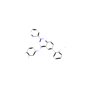 COc1ccccc1-c1ccc2nc(-c3cccnc3)nc(Nc3ccc(F)c(Cl)c3)c2c1